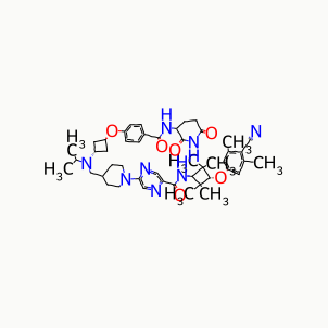 Cc1cc(O[C@H]2C(C)(C)[C@H](NC(=O)c3cnc(N4CCC(CN(C(C)C)[C@H]5C[C@H](Oc6ccc(C(=O)NC7CCC(=O)NC7=O)cc6)C5)CC4)cn3)C2(C)C)cc(C)c1C#N